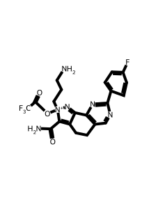 NCCC[N+]1(OC(=O)C(F)(F)F)N=C2C(=C1C(N)=O)CCc1cnc(-c3ccc(F)cc3)nc12